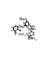 COc1cc(NS(=O)(=O)N2CC[C@](N)(N(C(=O)O)C(C)(C)C)C2)nc(SCc2cccc(F)c2F)n1